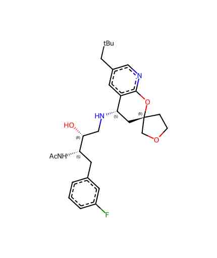 CC(=O)N[C@@H](Cc1cccc(F)c1)[C@H](O)CN[C@H]1C[C@]2(CCOC2)Oc2ncc(CC(C)(C)C)cc21